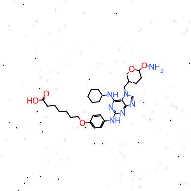 NOC1CCC(Cn2cnc3nc(Nc4ccc(OCCCCCCC(=O)O)cc4)nc(NC4CCCCC4)c32)CO1